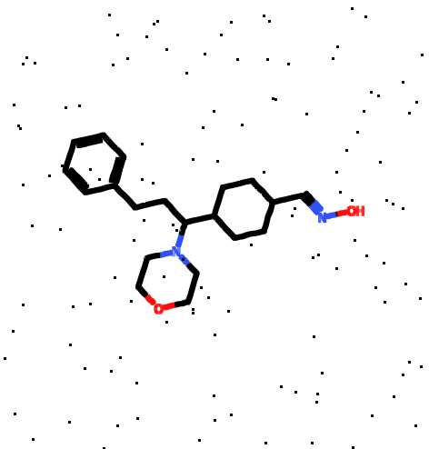 ON=CC1CCC(C(CCc2ccccc2)N2CCOCC2)CC1